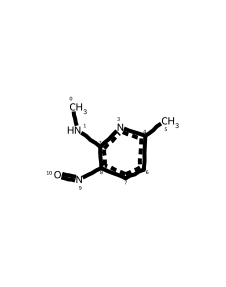 CNc1nc(C)ccc1N=O